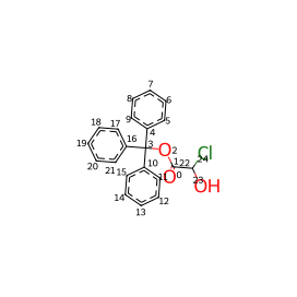 O=C(OC(c1ccccc1)(c1ccccc1)c1ccccc1)C(O)Cl